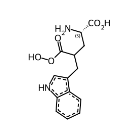 N[C@@H](CC(Cc1c[nH]c2ccccc12)C(=O)OO)C(=O)O